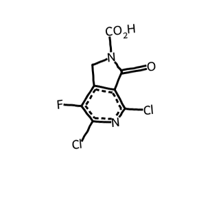 O=C(O)N1Cc2c(F)c(Cl)nc(Cl)c2C1=O